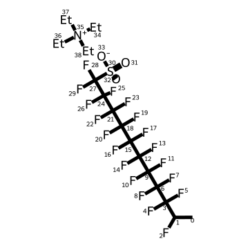 CC(F)C(F)(F)C(F)(F)C(F)(F)C(F)(F)C(F)(F)C(F)(F)C(F)(F)C(F)(F)C(F)(F)S(=O)(=O)[O-].CC[N+](CC)(CC)CC